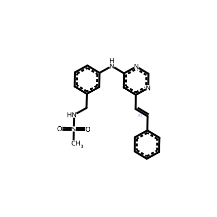 CS(=O)(=O)NCc1cccc(Nc2cc(/C=C/c3ccccc3)ncn2)c1